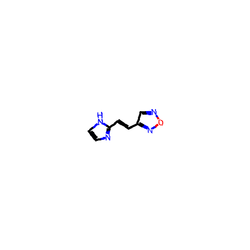 C(=Cc1ncc[nH]1)c1cnon1